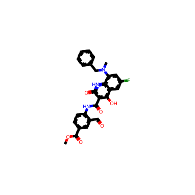 COC(=O)c1ccc(NC(=O)c2c(O)c3cc(F)cc(N(C)Cc4ccccc4)c3[nH]c2=O)c(C=O)c1